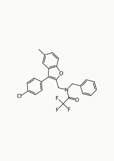 Cc1ccc2oc(CN(Cc3ccccc3)C(=O)C(F)(F)F)c(-c3ccc(Cl)cc3)c2c1